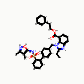 CCc1nc2cccc(C(=O)OCCc3ccccc3)c2n1Cc1ccc(-c2ccccc2S(=O)(=O)Nc2onc(C)c2C)cc1